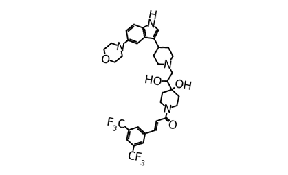 O=C(/C=C/c1cc(C(F)(F)F)cc(C(F)(F)F)c1)N1CCC(O)(C(O)CN2CCC(c3c[nH]c4ccc(N5CCOCC5)cc34)CC2)CC1